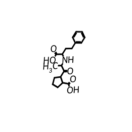 CC(NC(CCc1ccccc1)C(=O)O)C(=O)C1CCCC1C(=O)O